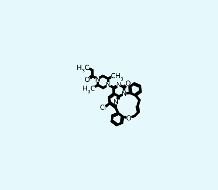 CCC(=O)N1CC(C)N(c2nc(=O)n3c4nc(c(Cl)cc24)-c2ccccc2OC/C=C/Cc2ccccc2-3)CC1C